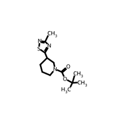 Cc1nsc(C2CCCN(C(=O)OC(C)(C)C)C2)n1